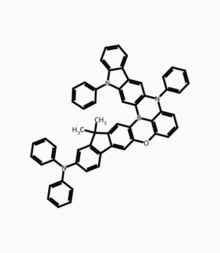 CC1(C)c2cc(N(c3ccccc3)c3ccccc3)ccc2-c2cc3c(cc21)B1c2cc4c(cc2N(c2ccccc2)c2cccc(c21)O3)c1ccccc1n4-c1ccccc1